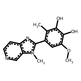 COc1cc(-c2nc3ccncc3n2C)c(C)c(O)c1O